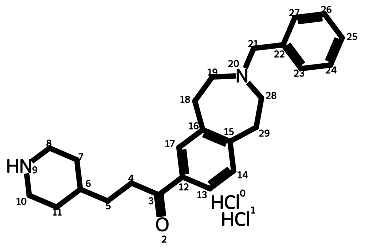 Cl.Cl.O=C(CCC1CCNCC1)c1ccc2c(c1)CCN(Cc1ccccc1)CC2